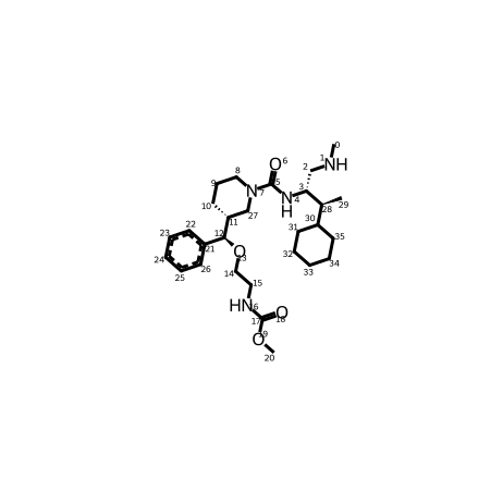 CNC[C@@H](NC(=O)N1CCC[C@@H]([C@@H](OCCNC(=O)OC)c2ccccc2)C1)[C@@H](C)C1CCCCC1